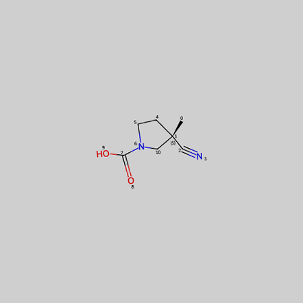 C[C@]1(C#N)CCN(C(=O)O)C1